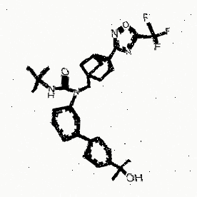 CC(C)(C)NC(=O)N(CC12CCC(c3noc(C(F)(F)F)n3)=C(C1)C2)c1cccc(-c2ccc(C(C)(C)O)cc2)c1